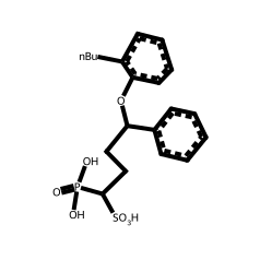 CCCCc1ccccc1OC(CCC(P(=O)(O)O)S(=O)(=O)O)c1ccccc1